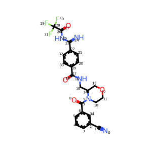 N#Cc1cccc(C(=O)N2CCOCC2CNC(=O)c2ccc(C(=N)NC(=O)C(F)(F)F)cc2)c1